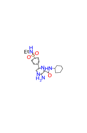 CCNS(=O)(=O)c1ccc(-c2cnc(N)c(C(=O)NC3CCCCC3)n2)cc1